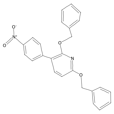 O=[N+]([O-])c1ccc(-c2ccc(OCc3ccccc3)nc2OCc2ccccc2)cc1